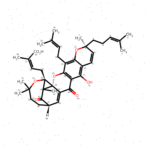 CC(C)=CCC[C@@]1(C)C=Cc2c(O)c3c(c(CC=C(C)C)c2O1)O[C@@]12C(=C[C@@H]4CCC(C)(C)O[C@@]1(C/C=C(/C)C(=O)O)C2(C)C4=O)C3=O